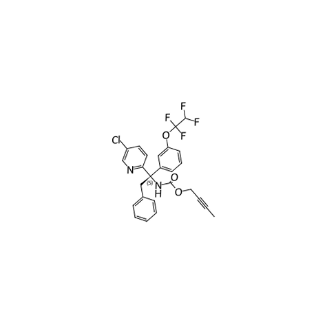 CC#CCOC(=O)N[C@@](Cc1ccccc1)(c1cccc(OC(F)(F)C(F)F)c1)c1ccc(Cl)cn1